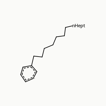 CCCCCCCCCCCCCCc1c[c]ccc1